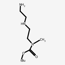 CN(CCNCCN)C(=O)OC(C)(C)C